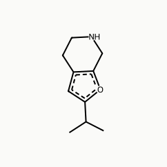 CC(C)c1cc2c(o1)CNCC2